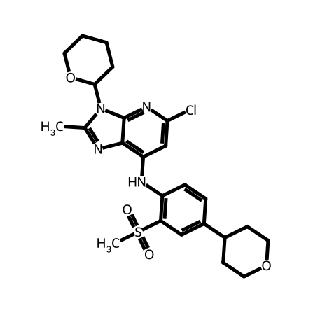 Cc1nc2c(Nc3ccc(C4CCOCC4)cc3S(C)(=O)=O)cc(Cl)nc2n1C1CCCCO1